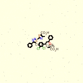 CC(C(=O)O)C(F)(F)F.Cc1nc(C)c(C(=O)O)s1.O=C(CC(C(=O)O)c1cccc(Cl)c1Cl)c1ccccc1.O=C(O)c1snnc1-c1ccccc1